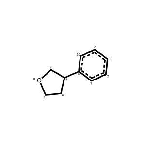 [c]1cccc(C2CCOC2)c1